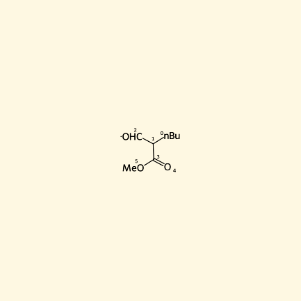 CCCCC([C]=O)C(=O)OC